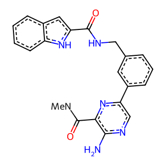 CNC(=O)c1nc(-c2cccc(CNC(=O)c3cc4ccccc4[nH]3)c2)cnc1N